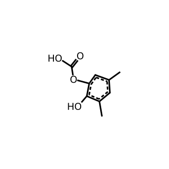 Cc1cc(C)c(O)c(OC(=O)O)c1